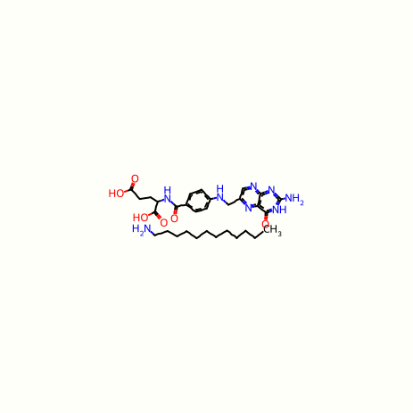 CCCCCCCCCCCCN.Nc1nc2ncc(CNc3ccc(C(=O)NC(CCC(=O)O)C(=O)O)cc3)nc2c(=O)[nH]1